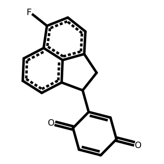 O=C1C=CC(=O)C(C2Cc3ccc(F)c4cccc2c34)=C1